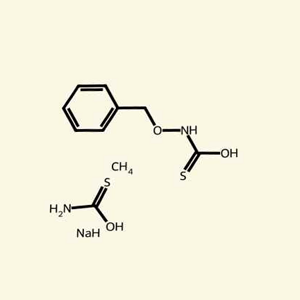 C.NC(O)=S.OC(=S)NOCc1ccccc1.[NaH]